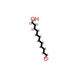 [O]CCCCCCCCCCCCO